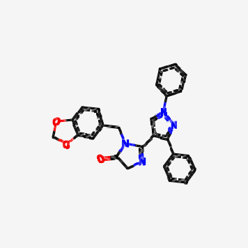 O=C1CN=C(c2cn(-c3ccccc3)nc2-c2ccccc2)N1Cc1ccc2c(c1)OCO2